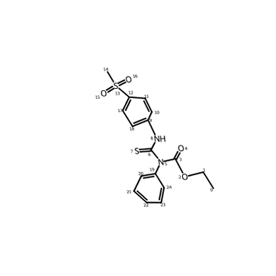 CCOC(=O)N(C(=S)Nc1ccc(S(C)(=O)=O)cc1)c1ccccc1